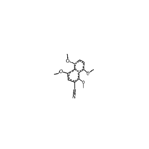 COc1ccc(OC)c2c(OC)c(C#N)cc(OC)c12